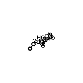 CN1C(=O)N(CCCC(CS(=O)(=O)CCCOC2(O)CCC(c3ccccc3)CC2)C(=O)NO)C(=O)C1(C)C